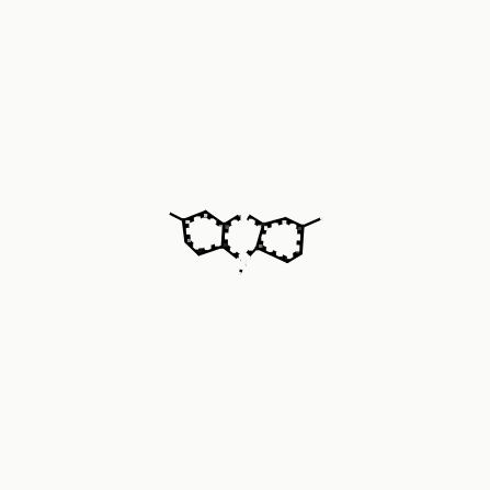 Cc1ccc2c(c1)pc1cc(C)ccc1[n+]2[O-]